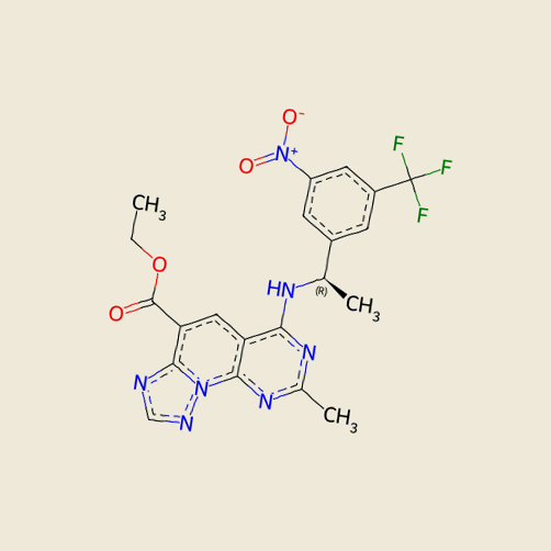 CCOC(=O)c1cc2c(N[C@H](C)c3cc([N+](=O)[O-])cc(C(F)(F)F)c3)nc(C)nc2n2ncnc12